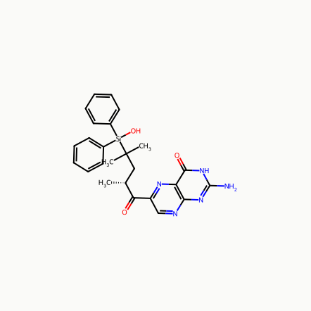 C[C@H](CC(C)(C)[Si](O)(c1ccccc1)c1ccccc1)C(=O)c1cnc2nc(N)[nH]c(=O)c2n1